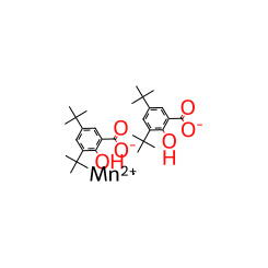 CC(C)(C)c1cc(C(=O)[O-])c(O)c(C(C)(C)C)c1.CC(C)(C)c1cc(C(=O)[O-])c(O)c(C(C)(C)C)c1.[Mn+2]